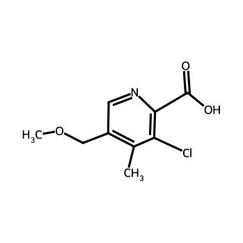 COCc1cnc(C(=O)O)c(Cl)c1C